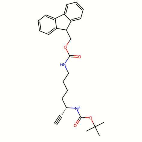 C#C[C@H](CCCCNC(=O)OCC1c2ccccc2-c2ccccc21)NC(=O)OC(C)(C)C